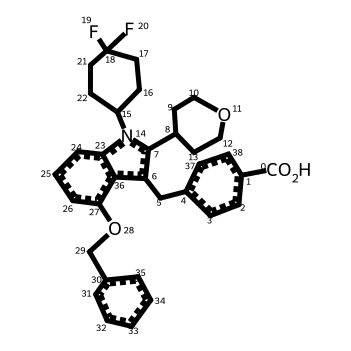 O=C(O)c1ccc(Cc2c(C3CCOCC3)n(C3CCC(F)(F)CC3)c3cccc(OCc4ccccc4)c23)cc1